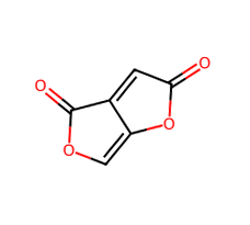 O=C1C=C2C(=O)OC=C2O1